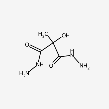 CC(O)(C(=O)NN)C(=O)NN